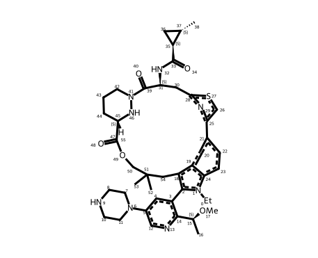 CCn1c(-c2cc(N3CCNCC3)cnc2[C@H](C)OC)c2c3cc(ccc31)-c1csc(n1)C[C@H](NC(=O)[C@H]1C[C@@H]1C)C(=O)N1CCC[C@H](N1)C(=O)OCC(C)(C)C2